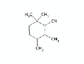 CC1CCC(C)(C)C(C#N)C1C